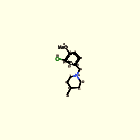 COc1ccc(CN2CCC(C)CC2)cc1Cl